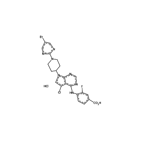 CCc1cnc(N2CCC(n3cc(Cl)c4c(Nc5ccc(C(=O)O)cc5F)ncnc43)CC2)nc1.Cl